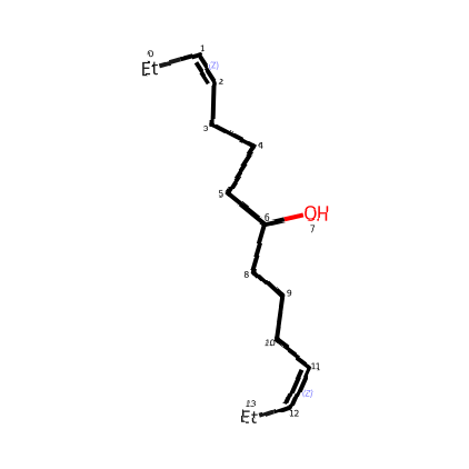 CC/C=C\CCCC(O)CCC/C=C\CC